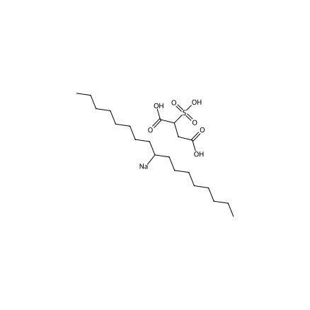 CCCCCCCC[CH]([Na])CCCCCCCC.O=C(O)CC(C(=O)O)S(=O)(=O)O